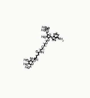 CC(=O)N[C@@H]1[C@@H](OCCCCC(=O)NCCOCCOCO[C@@H]2[C@H](O)[C@@H](COP(=O)(O)O)O[C@H]2n2cnc3c(N)ncnc32)O[C@@H](CO)[C@@H](O)[C@H]1O